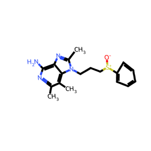 Cc1nc(N)c2nc(C)n(CCC[S+]([O-])c3ccccc3)c2c1C